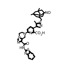 Cc1c(-c2ccc(N3CCn4cnc(C(=O)Nc5nc6ccccc6s5)c4C3)nc2C(=O)O)cnn1CC12CC3(C)CC(C)(C1)CC(N=O)(C3)C2